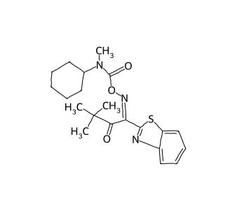 CN(C(=O)O/N=C(\C(=O)C(C)(C)C)c1nc2ccccc2s1)C1CCCCC1